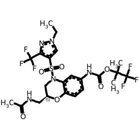 CCn1cc(S(=O)(=O)N2C[C@H](CNC(C)=O)Oc3ccc(NC(=O)OC(C)(C)C(F)(F)F)cc32)c(C(F)(F)F)n1